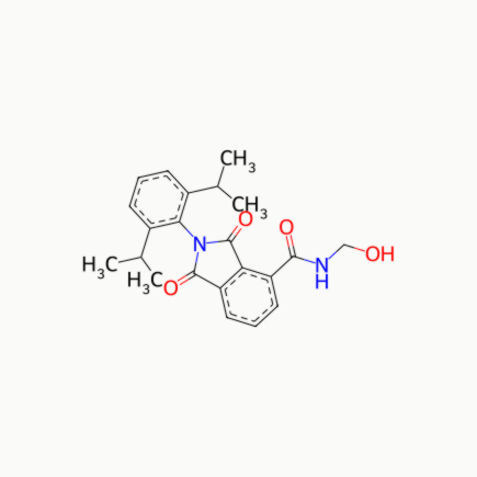 CC(C)c1cccc(C(C)C)c1N1C(=O)c2cccc(C(=O)NCO)c2C1=O